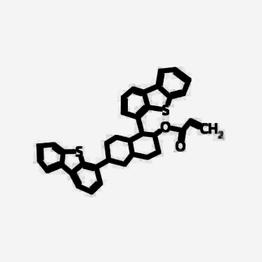 C=CC(=O)OC1CCC2CC(c3cccc4c3sc3ccccc34)CCC2C1c1cccc2c1sc1ccccc12